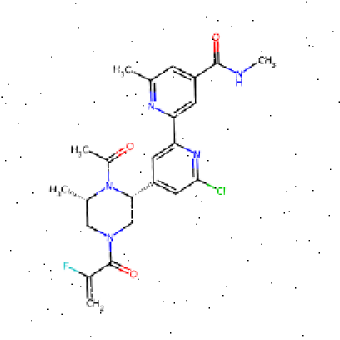 C=C(F)C(=O)N1C[C@H](C)N(C(C)=O)[C@H](c2cc(Cl)nc(-c3cc(C(=O)NC)cc(C)n3)c2)C1